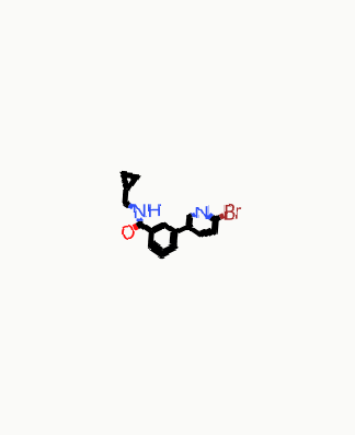 O=C(NCC1CC1)c1cccc(-c2ccc(Br)nc2)c1